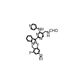 CCOc1cc(F)c(Cn2nc(-c3ncc(CNC=O)c(Nc4ccncc4)n3)c3ccccc32)c(F)c1